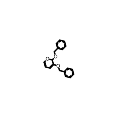 C1=COC(OCc2ccccc2)C(OCc2ccccc2)=C1